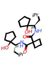 CC(C)C[C@@H](NC(=O)C1(C(=O)N[C@H](CC(C)C)C2(O)CCCC2)CCC1)C1(O)CCCC1